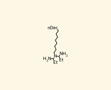 CCCCCCCCCCCCCCCCCCN(C(N)CC)C(N)CC